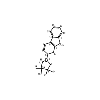 CC1(C)CB(C2C=Cc3c(sc4ccccc34)C2)OC1(C)C